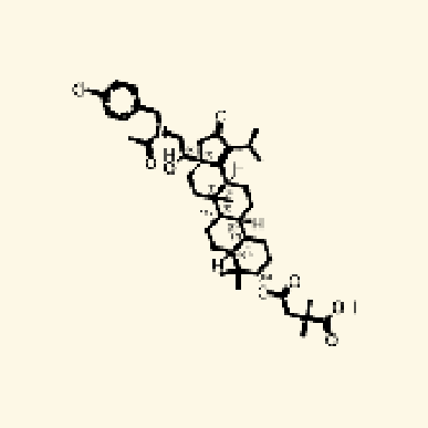 CC(=O)N(Cc1ccc(Cl)cc1)C[C@H](O)[C@@]12CC[C@]3(C)[C@H](CC[C@@H]4[C@@]5(C)CC[C@H](OC(=O)CC(C)(C)C(=O)O)C(C)(C)[C@@H]5CC[C@]43C)C1=C(C(C)C)C(=O)C2